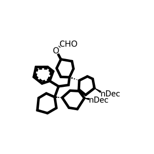 CCCCCCCCCC[C@H]1CC[C@H](C2(CC(c3ccccc3)C3([C@H]4CC[C@H](CCCCCCCCCC)CC4)CCCCC3)CCC(OC=O)CC2)CC1